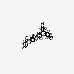 CN1CCN(C(=O)c2cccc(Nc3nccc(-c4c[nH]nc4-c4ccc(Cl)cc4)n3)c2)CC1